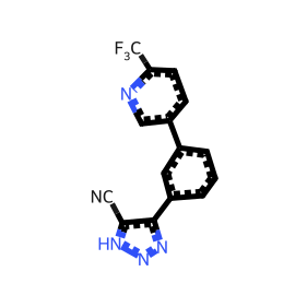 N#Cc1[nH]nnc1-c1cccc(-c2ccc(C(F)(F)F)nc2)c1